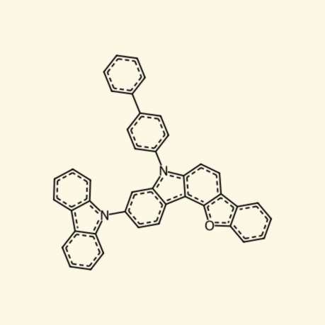 c1ccc(-c2ccc(-n3c4cc(-n5c6ccccc6c6ccccc65)ccc4c4c5oc6ccccc6c5ccc43)cc2)cc1